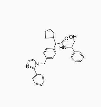 O=C(NC(CO)c1ccccc1)C(c1ccc(Cn2ccnc2-c2ccccc2)cc1)C1CCCC1